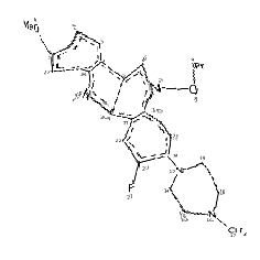 COc1ccc2c3cn(OC(C)C)c4cc(N5CCN(C)CC5)c(F)cc4c-3nc2c1